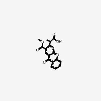 COC(=O)c1cc2c(=O)c3ccccc3oc2nc1C(C)C(=O)O